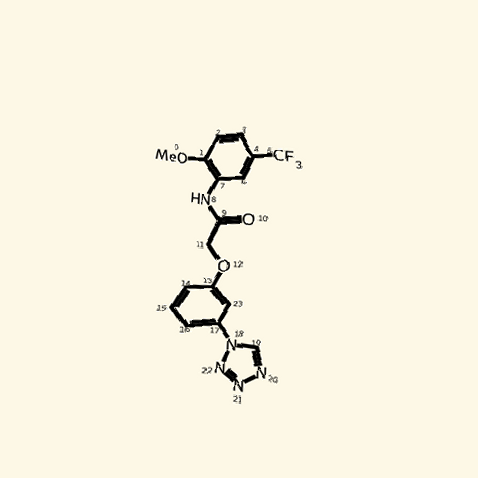 COc1ccc(C(F)(F)F)cc1NC(=O)COc1cccc(-n2cnnn2)c1